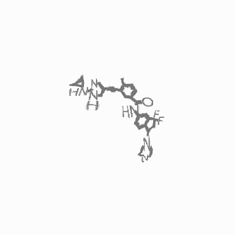 Cc1ccc(C(=O)Nc2ccc3c(c2)C(F)(F)CC3N2CCN(C)CC2)cc1C#CC1=CN=C(NC2CC2)NC1